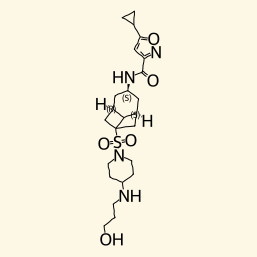 O=C(N[C@@H]1C[C@@H]2CC3(S(=O)(=O)N4CCC(NCCCO)CC4)C[C@H](C1)C23)c1cc(C2CC2)on1